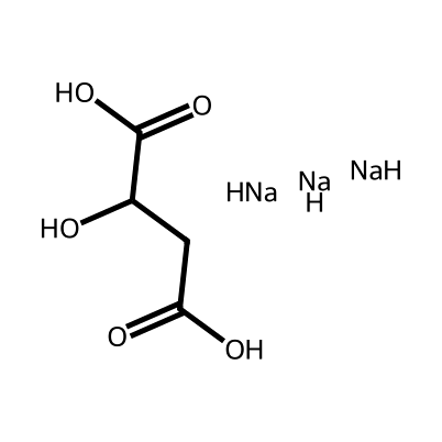 O=C(O)CC(O)C(=O)O.[NaH].[NaH].[NaH]